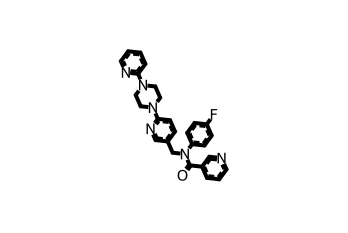 O=C(c1cccnc1)N(Cc1ccc(N2CCN(c3ccccn3)CC2)nc1)c1ccc(F)cc1